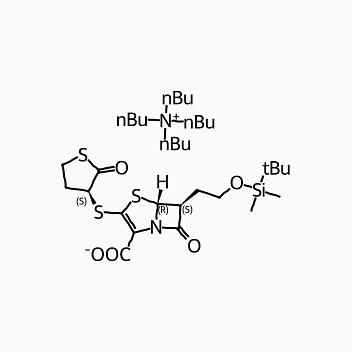 CC(C)(C)[Si](C)(C)OCC[C@H]1C(=O)N2C(C(=O)[O-])=C(S[C@H]3CCSC3=O)S[C@H]12.CCCC[N+](CCCC)(CCCC)CCCC